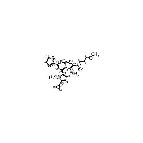 COCCC[S+]([O-])c1sc2nc(-c3nccs3)cc(-c3ccc(C4CC4)n3C)c2c1N